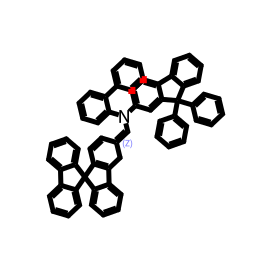 C1=C/C(=C\N(c2ccc3c(c2)C(c2ccccc2)(c2ccccc2)c2ccccc2-3)c2ccccc2-c2ccccc2)CC2=C1C1(c3ccccc32)c2ccccc2-c2ccccc21